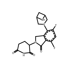 O=C1CCC(N2Cc3c(c(F)cc(F)c3N3CC4CC(C3)N4)C2=O)C(=O)N1